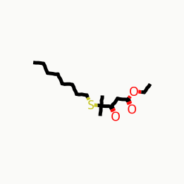 CCCCCCCCSC(C)(C)C(=O)CC(=O)OCC